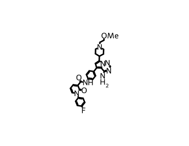 COCCN1CCC(c2cc(-c3ccc(NC(=O)c4cccn(-c5ccc(F)cc5)c4=O)cc3)c3c(N)ncnn23)CC1